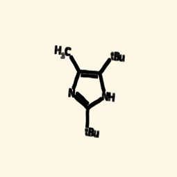 Cc1nc(C(C)(C)C)[nH]c1C(C)(C)C